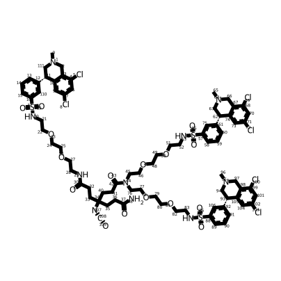 CN1Cc2c(Cl)cc(Cl)cc2[C@H](c2cccc(S(=O)(=O)NCCOCCOCCNC(=O)CCC(CCC(N)=O)(CCC(=O)N(CCOCCOCCNS(=O)(=O)c3cccc([C@@H]4CN(C)Cc5c(Cl)cc(Cl)cc54)c3)CCOCCOCCNS(=O)(=O)c3cccc([C@@H]4CN(C)Cc5c(Cl)cc(Cl)cc54)c3)N=C=O)c2)C1